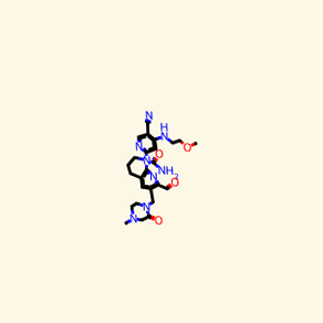 COCCNc1cc([N+]2(C(N)=O)CCCc3cc(CN4CCN(C)CC4=O)c(C=O)nc32)ncc1C#N